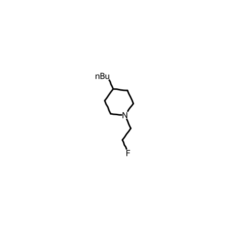 CCCCC1CCN(CCF)CC1